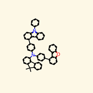 CC1(C)c2ccccc2-c2c(N(c3ccc(-c4cccc5oc6ccccc6c45)cc3)c3ccc(-c4cccc5c4c4ccccc4n5-c4ccccc4)cc3)cccc21